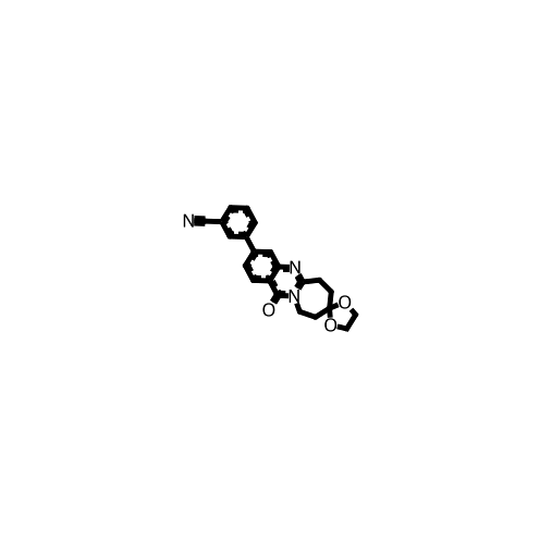 N#Cc1cccc(-c2ccc3c(=O)n4c(nc3c2)CCC2(CC4)OCCO2)c1